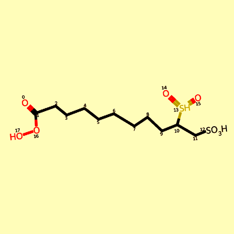 O=C(CCCCCCCCC(CS(=O)(=O)O)[SH](=O)=O)OO